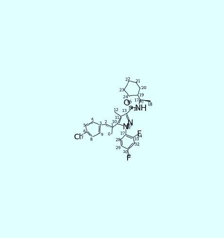 CC(=Cc1ccc(Cl)cc1)c1c(C)c(C(=O)N[C@H](C)C2CCCCC2)nn1-c1ccc(F)cc1F